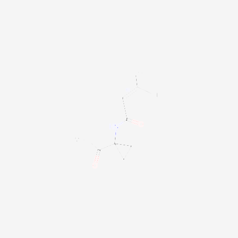 CCC/C(C)=C/C(=O)NC1(C(=O)OC)CC1